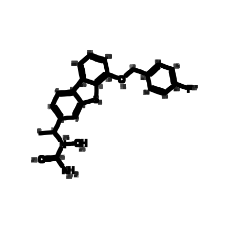 CC(c1ccc2c(c1)sc1c(OCc3ccc(F)cc3)cccc12)N(O)C(N)=O